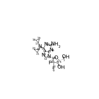 C#C[C@@]1(F)[C@H](O)[C@@H](CO)O[C@H]1n1cnc2c(N(C3CC3)C3CC3)nc(N)nc21